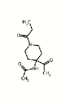 CCC(=O)N1CCC(NC(C)=O)(C(C)=O)CC1